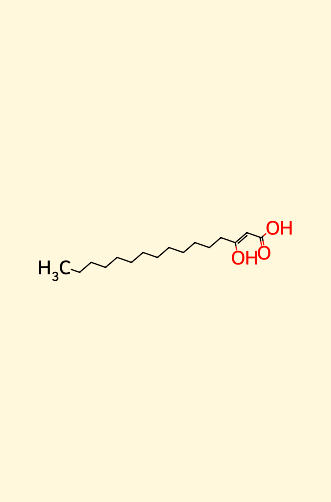 CCCCCCCCCCCCC/C(O)=C/C(=O)O